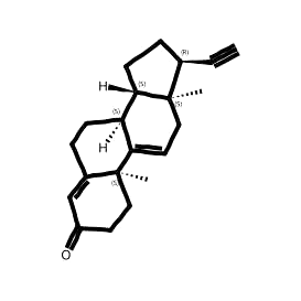 C#C[C@@H]1CC[C@H]2[C@@H]3CCC4=CC(=O)CC[C@]4(C)C3=CC[C@]12C